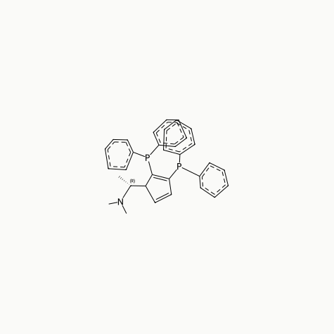 C[C@H](C1C=CC(P(c2ccccc2)c2ccccc2)=C1P(c1ccccc1)c1ccccc1)N(C)C